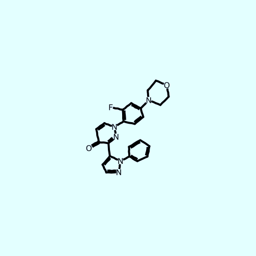 O=c1ccn(-c2ccc(N3CCOCC3)cc2F)nc1-c1ccnn1-c1ccccc1